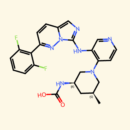 C[C@H]1C[C@@H](NC(=O)O)CN(c2ccncc2Nc2ncc3ccc(-c4c(F)cccc4F)nn23)C1